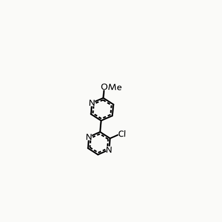 COc1ccc(-c2nccnc2Cl)cn1